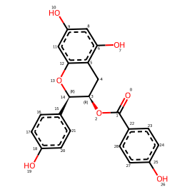 O=C(O[C@@H]1Cc2c(O)cc(O)cc2O[C@@H]1c1ccc(O)cc1)c1ccc(O)cc1